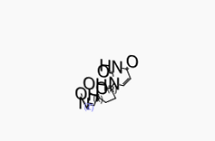 O=c1ccn([C@H]2CC[C@@](/C=N\O)(CO)O2)c(=O)[nH]1